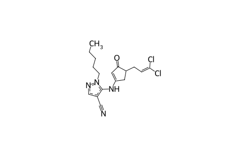 CCCCCn1ncc(C#N)c1NC1=CC(=O)C(CC=C(Cl)Cl)C1